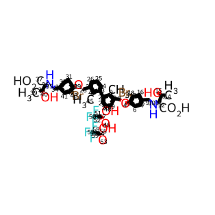 Cc1c(COc2ccc(CNC(C(=O)O)C(C)O)cc2Br)cccc1-c1cccc(COc2ccc(CNC(C(=O)O)C(C)O)cc2Br)c1C.O=C(O)C(F)(F)F.O=C(O)C(F)(F)F